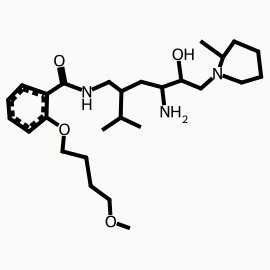 COCCCCOc1ccccc1C(=O)NCC(CC(N)C(O)CN1CCCCC1C)C(C)C